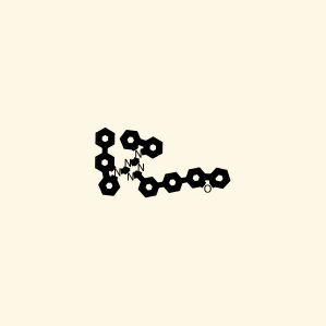 c1ccc(-c2ccc3c4ccccc4n(-c4nc(-c5cccc(-c6ccc(-c7ccc8c(c7)oc7ccccc78)cc6)c5)nc(-n5c6ccccc6c6ccccc65)n4)c3c2)cc1